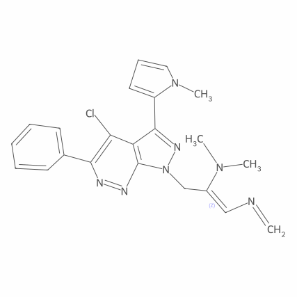 C=N/C=C(/Cn1nc(-c2cccn2C)c2c(Cl)c(-c3ccccc3)nnc21)N(C)C